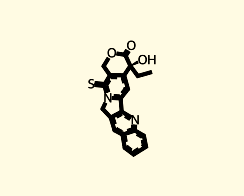 CC[C@@]1(O)C(=O)OCc2c1cc1n(c2=S)Cc2cc3ccccc3nc2-1